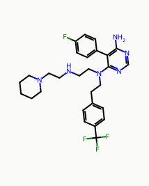 Nc1ncnc(N(CCNCCN2CCCCC2)CCc2ccc(C(F)(F)F)cc2)c1-c1ccc(F)cc1